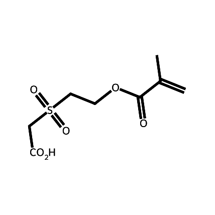 C=C(C)C(=O)OCCS(=O)(=O)CC(=O)O